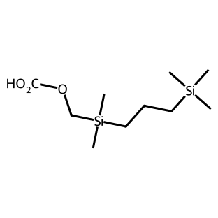 C[Si](C)(C)CCC[Si](C)(C)COC(=O)O